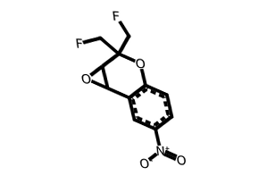 O=[N+]([O-])c1ccc2c(c1)C1OC1C(CF)(CF)O2